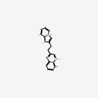 c1ccc2nc(CCc3cn4ccccc4n3)cnc2c1